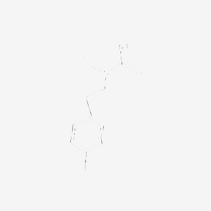 Cc1ccc(CCN(O)C(N)=O)cc1